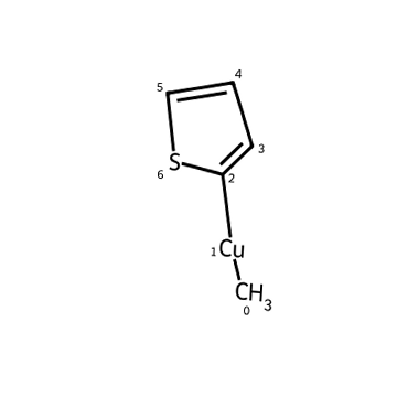 [CH3][Cu][c]1cccs1